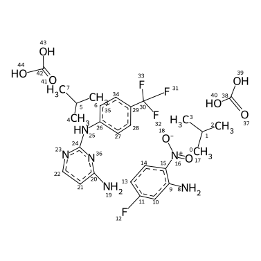 CC(C)C.CC(C)C.Nc1cc(F)ccc1[N+](=O)[O-].Nc1ccnc(Nc2ccc(C(F)(F)F)cc2)n1.O=C(O)O.O=C(O)O